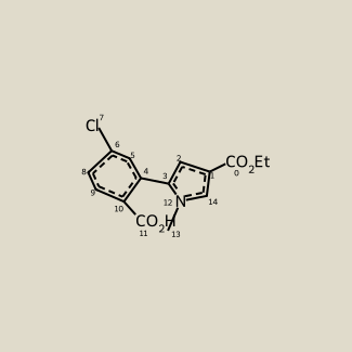 CCOC(=O)c1cc(-c2cc(Cl)ccc2C(=O)O)n(C)c1